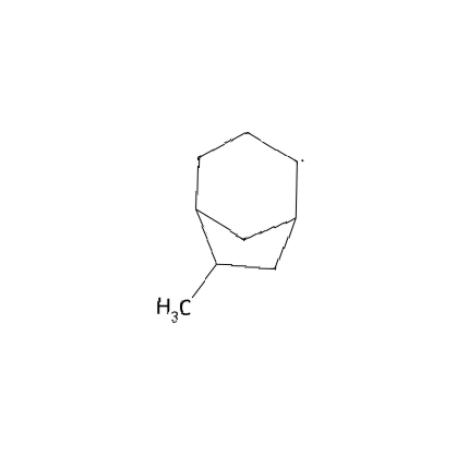 CC1CC2[CH]CCC1C2